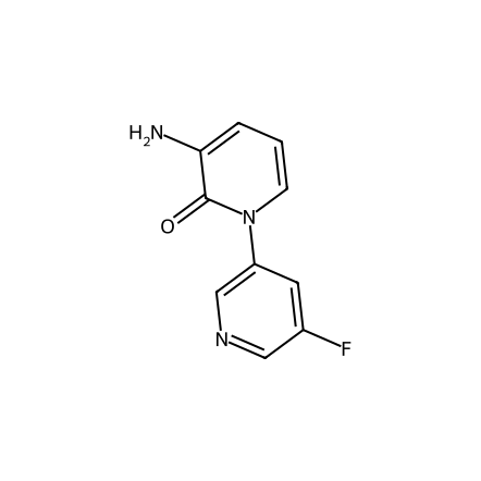 Nc1cccn(-c2cncc(F)c2)c1=O